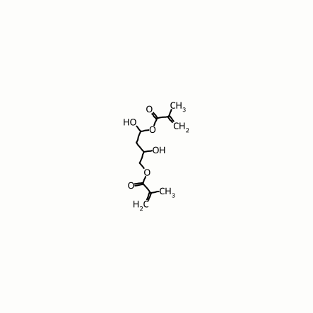 C=C(C)C(=O)OCC(O)CC(O)OC(=O)C(=C)C